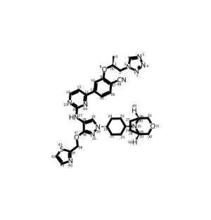 C[C@@H](Cn1cnnn1)Oc1cc(-c2ccnc(Nc3cn([C@H]4CC[C@H](N5[C@@H]6CC[C@H]5COC6)CC4)nc3OCc3nccs3)n2)ccc1C#N